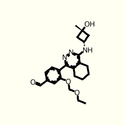 CCOCOc1cc(C=O)ccc1-c1nnc(N[C@H]2C[C@@](C)(O)C2)c2c1CCCC2